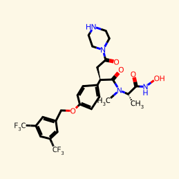 C[C@@H](C(=O)NO)N(C)C(=O)[C@H](CC(=O)N1CCNCC1)c1ccc(OCc2cc(C(F)(F)F)cc(C(F)(F)F)c2)cc1